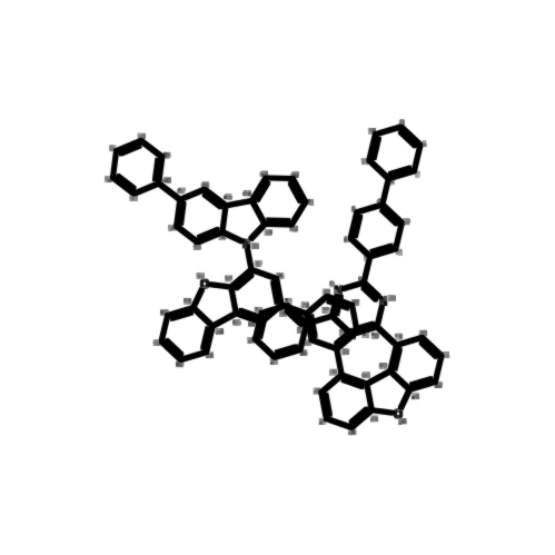 c1ccc(-c2ccc(-c3nc(-c4ccccc4)nc(-c4cccc5oc6cccc(-c7cccc(-c8cc(-n9c%10ccccc%10c%10cc(-c%11ccccc%11)ccc%109)c9oc%10ccccc%10c9c8)c7)c6c45)n3)cc2)cc1